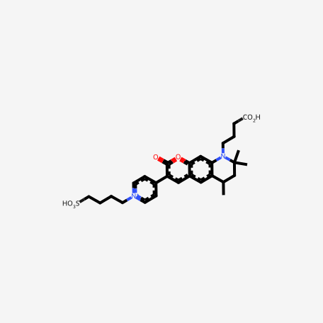 CC1CC(C)(C)N(CCCC(=O)O)c2cc3oc(=O)c(-c4cc[n+](CCCCS(=O)(=O)O)cc4)cc3cc21